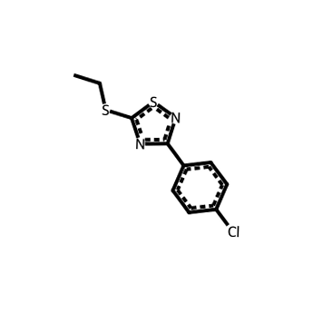 CCSc1nc(-c2ccc(Cl)cc2)ns1